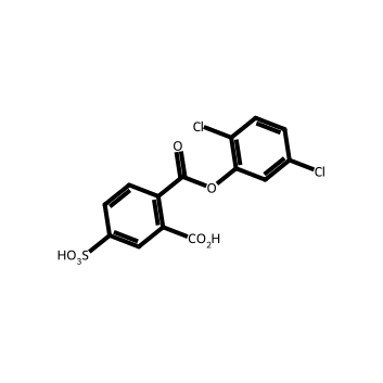 O=C(O)c1cc(S(=O)(=O)O)ccc1C(=O)Oc1cc(Cl)ccc1Cl